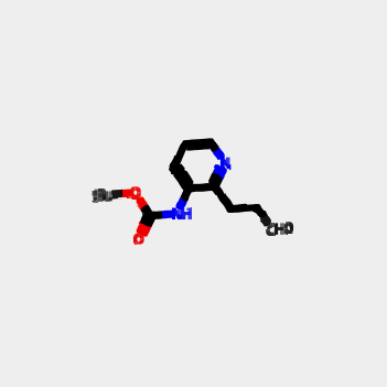 CC(C)(C)OC(=O)Nc1cccnc1CCC=O